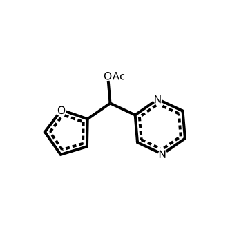 CC(=O)OC(c1cnccn1)c1ccco1